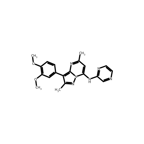 COc1ccc(-c2c(C)nn3c(Nc4cnccn4)cc(C)nc23)cc1OC